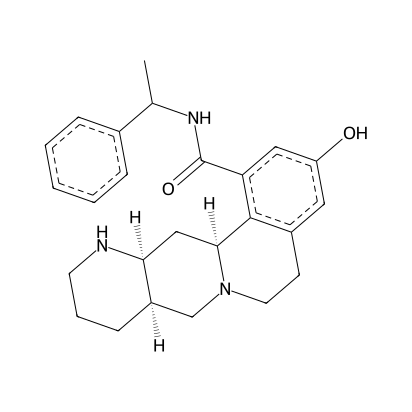 CC(NC(=O)c1cc(O)cc2c1[C@@H]1C[C@@H]3NCCC[C@@H]3CN1CC2)c1ccccc1